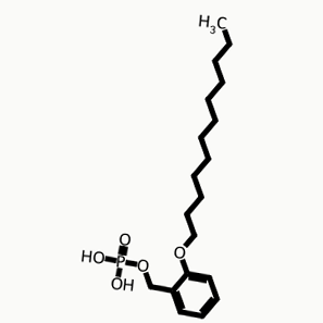 CCCCCCCCCCCCOc1ccccc1COP(=O)(O)O